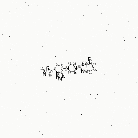 CCC(c1nnnn1Cc1cncs1)N1CCN(c2nc3cccc(F)c3s2)CC1